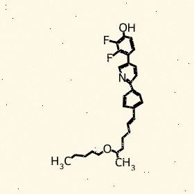 CCCCCOC(C)CCCC=Cc1ccc(-c2ccc(-c3ccc(O)c(F)c3F)cn2)cc1